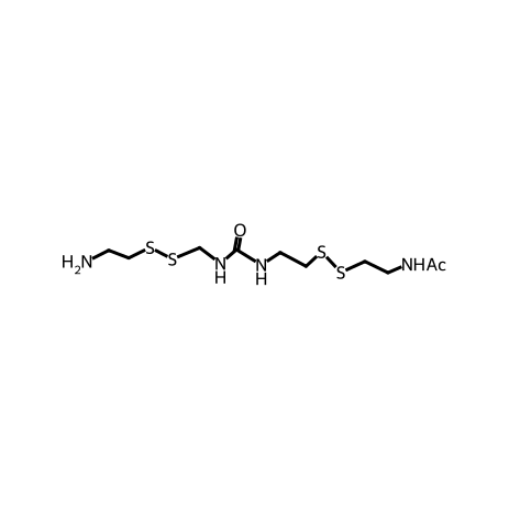 CC(=O)NCCSSCCNC(=O)NCSSCCN